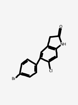 O=C1Cc2cc(-c3ccc(Br)cc3)c(Cl)cc2N1